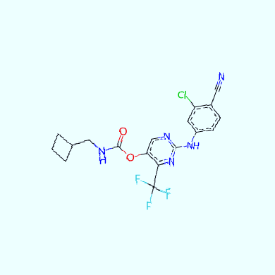 N#Cc1ccc(Nc2ncc(OC(=O)NCC3CCC3)c(C(F)(F)F)n2)cc1Cl